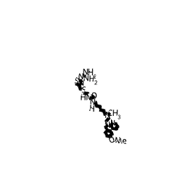 COc1ccc(CN(CCN(C)CCCCCCNC(=O)NCCSCc2csc(N=C(N)N)n2)c2ccccn2)cc1